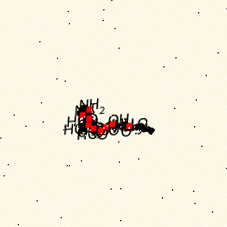 C#CCCC(=O)SCCNC(=O)CCNC(=O)[C@H](O)C(C)(C)COP(=O)(O)OP(=O)(O)OCC1OC(n2cnc3c(N)ncnc32)C(O)C1OP(=O)(O)O